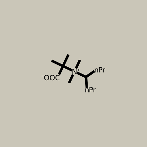 CCCC(CCC)[N+](C)(C)C(C)(C)C(=O)[O-]